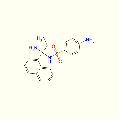 NCC(N)(NS(=O)(=O)c1ccc(N)cc1)c1cccc2ccccc12